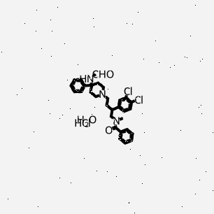 CN(CC(CCN1CCC(NC=O)(c2ccccc2)CC1)c1ccc(Cl)c(Cl)c1)C(=O)c1ccccc1.Cl.O